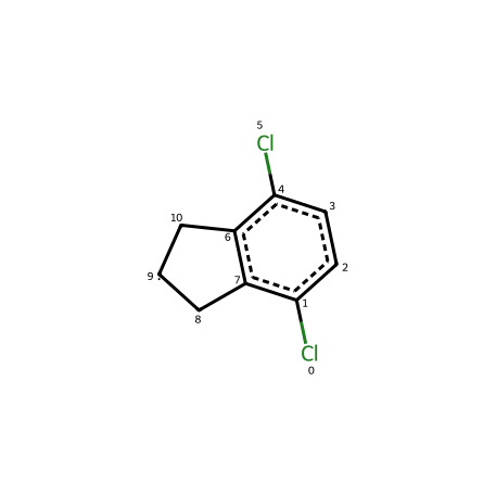 Clc1ccc(Cl)c2c1C[CH]C2